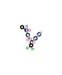 CN1CCN(C2CCN(C(=O)[C@@H](Cc3ccc(Br)c(Br)c3)OC(=O)N3CCC(n4cc(-c5ccccc5)[nH]c4=O)CC3)CC2)CC1